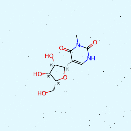 Cn1c(=O)[nH]cc([C@@H]2O[C@H](CO)[C@H](O)[C@@H]2O)c1=O